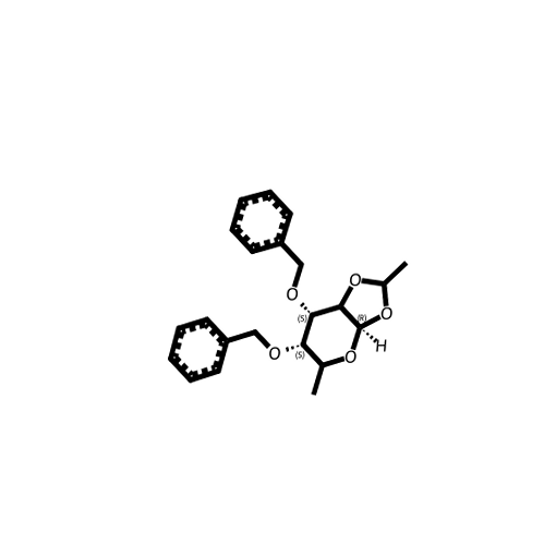 CC1OC2[C@@H](O1)OC(C)[C@H](OCc1ccccc1)[C@@H]2OCc1ccccc1